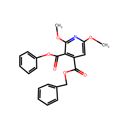 COc1cc(C(=O)OCc2ccccc2)c(C(=O)Oc2ccccc2)c(OC)n1